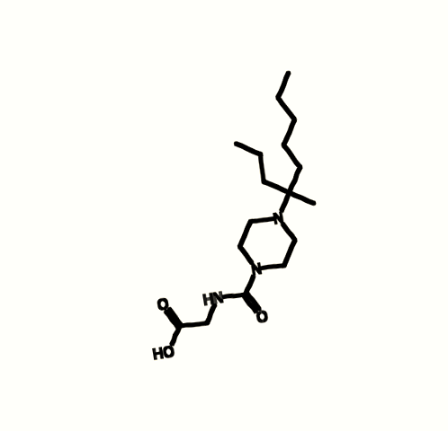 CCCCCC(C)(CCC)N1CCN(C(=O)NCC(=O)O)CC1